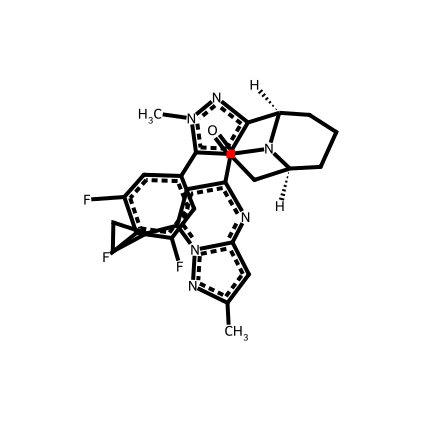 Cc1cc2nc(C(=O)N3[C@H]4CCC[C@@H]3c3nn(C)c(-c5cc(F)c(F)c(F)c5)c3C4)cc(C3CC3)n2n1